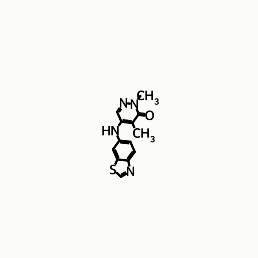 Cc1c(Nc2ccc3ncsc3c2)cnn(C)c1=O